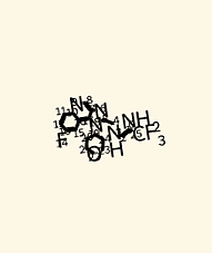 N/C(=C\NCc1nc2cnc3ccc(F)cc3c2n1C1CCOCC1)C(F)(F)F